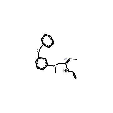 C=CN/C(=C\C)CN(C)c1cccc(Oc2ccccc2)c1